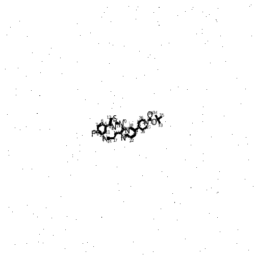 CN(c1nc(-c2ccc(F)cc2)cs1)c1c(CCC#N)nc2ccc(C3CCN(C(=O)OC(C)(C)C)CC3)cn12